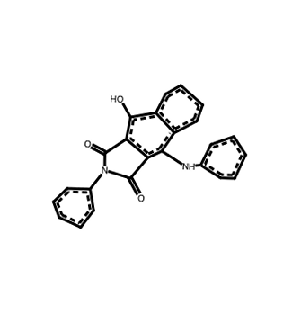 O=C1c2c(c(Nc3ccccc3)c3ccccc3c2O)C(=O)N1c1ccccc1